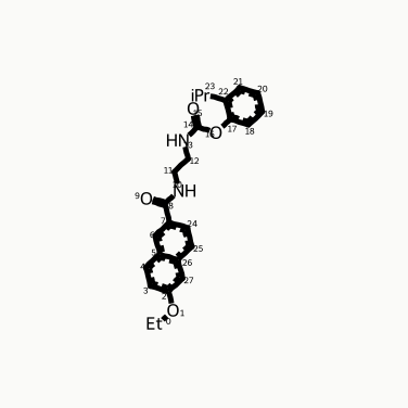 CCOc1ccc2cc(C(=O)NCCNC(=O)Oc3ccccc3C(C)C)ccc2c1